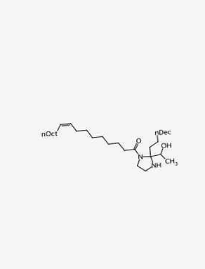 CCCCCCCC/C=C\CCCCCCCC(=O)N1CCNC1(CCCCCCCCCCCC)C(C)O